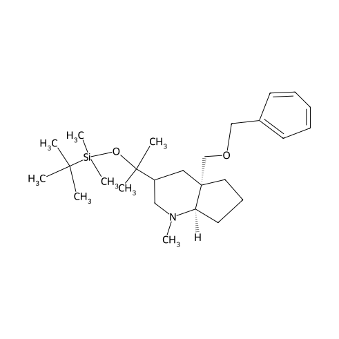 CN1CC(C(C)(C)O[Si](C)(C)C(C)(C)C)C[C@@]2(COCc3ccccc3)CCC[C@@H]12